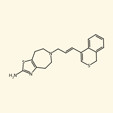 Nc1nc2c(s1)CCN(CC=CC1=CSCc3ccccc31)CC2